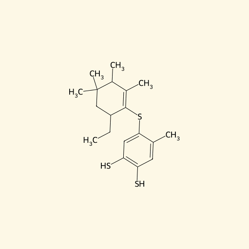 CCC1CC(C)(C)C(C)C(C)=C1Sc1cc(S)c(S)cc1C